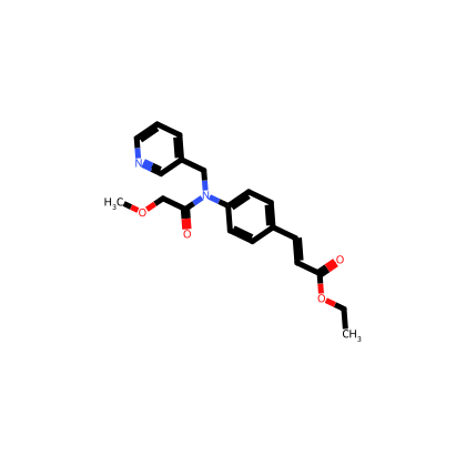 CCOC(=O)/C=C/c1ccc(N(Cc2cccnc2)C(=O)COC)cc1